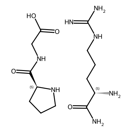 N=C(N)NCCC[C@H](N)C(N)=O.O=C(O)CNC(=O)[C@@H]1CCCN1